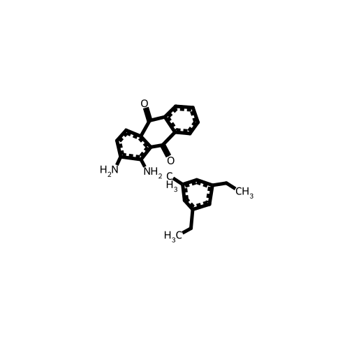 CCc1cc(C)cc(CC)c1.Nc1ccc2c(c1N)C(=O)c1ccccc1C2=O